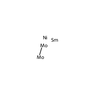 [Mo][Mo].[Ni].[Sm]